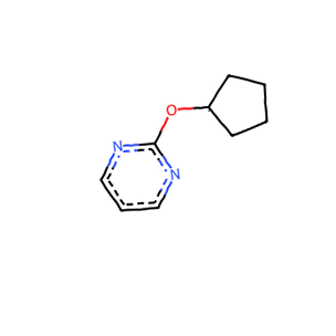 c1cnc(O[C]2CCCC2)nc1